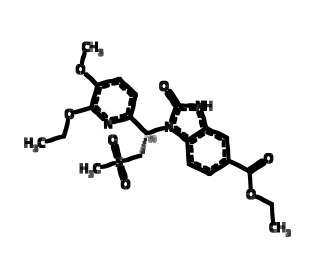 CCOC(=O)c1ccc2c(c1)[nH]c(=O)n2[C@H](CS(C)(=O)=O)c1ccc(OC)c(OCC)n1